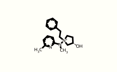 Cc1cccc(N(C)[N+]2(CCc3ccccc3)CC[C@H](O)C2)n1